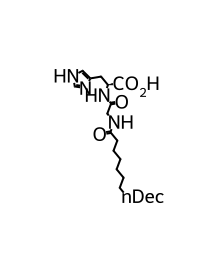 CCCCCCCCCCCCCCCCC(=O)NCC(=O)N[C@@H](Cc1c[nH]cn1)C(=O)O